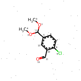 COC(OC)c1ccc(Cl)c(C=O)c1